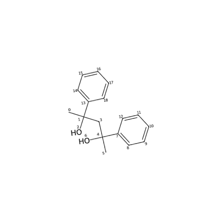 CC(O)(CC(C)(O)c1ccccc1)c1ccccc1